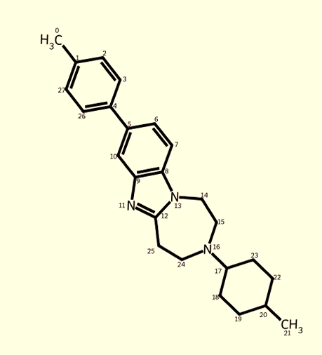 Cc1ccc(-c2ccc3c(c2)nc2n3CCN(C3CCC(C)CC3)CC2)cc1